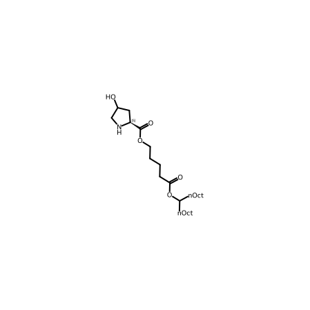 CCCCCCCCC(CCCCCCCC)OC(=O)CCCCOC(=O)[C@@H]1CC(O)CN1